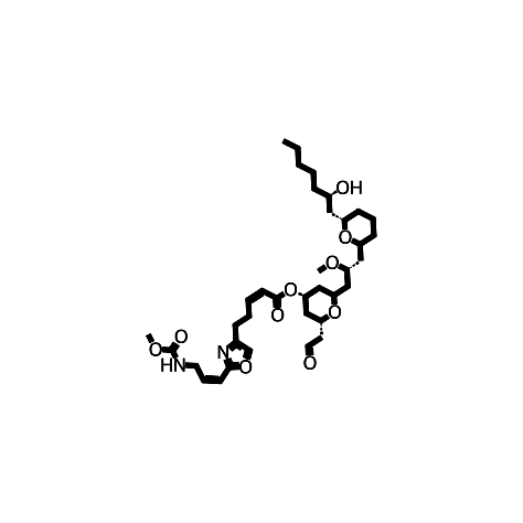 CCCCC[C@H](O)C[C@@H]1CCCC(C[C@H](CC2C[C@@H](OC(=O)/C=C\CCc3coc(/C=C\CNC(=O)OC)n3)C[C@@H](CC=O)O2)OC)O1